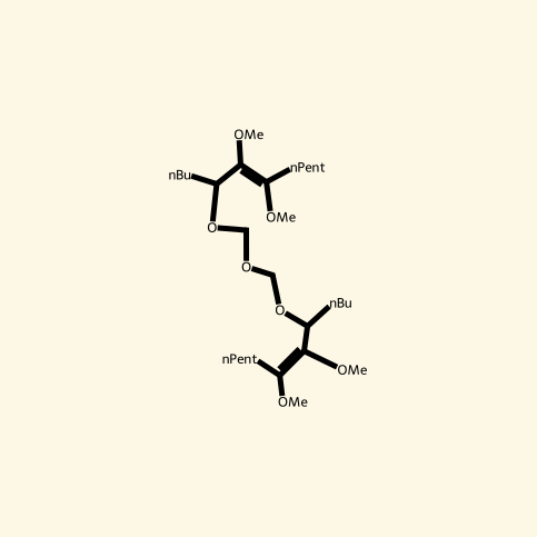 CCCCCC(OC)=C(OC)C(CCCC)OCOCOC(CCCC)C(OC)=C(CCCCC)OC